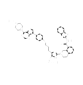 CN1CCN(c2ncnc3c(-c4ccc(OCCCc5sc(N6CCc7cccc(C(=O)Nc8nc9ccccc9s8)c7C6)nc5OC(=O)O)cc4)csc23)CC1